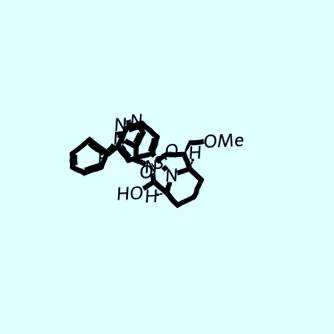 COC[C@@H]1CN(Cc2cnnn2-c2ccccc2)C(O)[C@@H]2CCC[C@H]1N2S(=O)(=O)c1cccc(F)c1